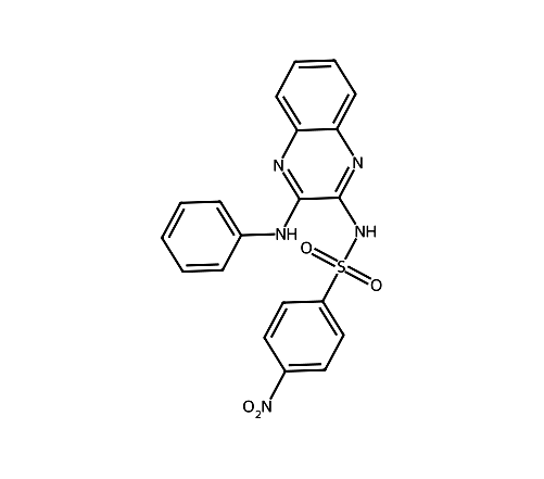 O=[N+]([O-])c1ccc(S(=O)(=O)Nc2nc3ccccc3nc2Nc2ccccc2)cc1